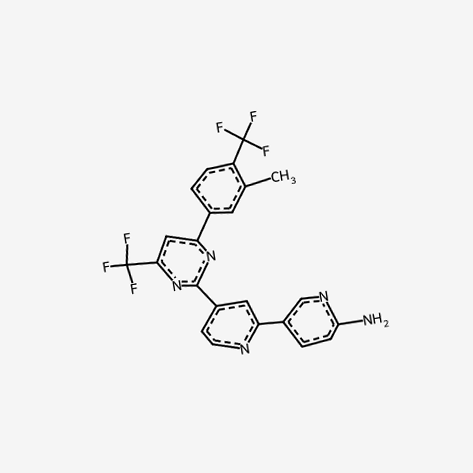 Cc1cc(-c2cc(C(F)(F)F)nc(-c3ccnc(-c4ccc(N)nc4)c3)n2)ccc1C(F)(F)F